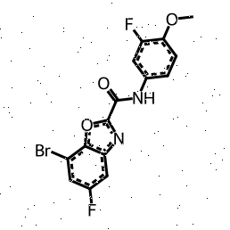 COc1ccc(NC(=O)c2nc3cc(F)cc(Br)c3o2)cc1F